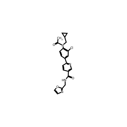 CC(=O)N(CC1CC1)c1ccc(-c2ccc(C(=O)NCc3ncco3)cn2)cc1Cl